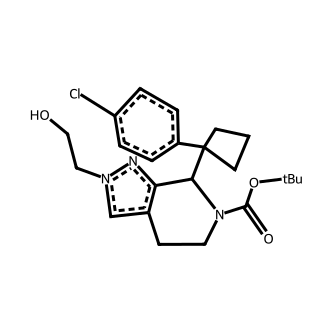 CC(C)(C)OC(=O)N1CCc2cn(CCO)nc2C1C1(c2ccc(Cl)cc2)CCC1